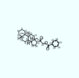 C[C@]12CCCC[C@H]1CC[C@@H]1[C@@H]2CC[C@]2(C)[C@@H](C(=O)COC(=O)c3ccccc3)CC[C@@H]12